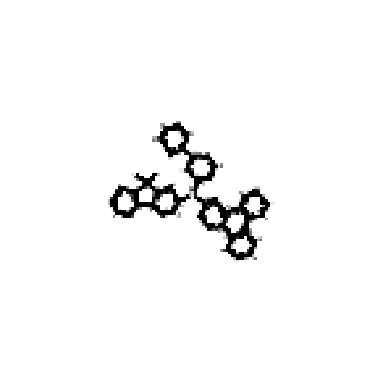 CC1(C)c2ccccc2-c2ccc(N(c3cccc(-c4ccccc4)c3)c3ccc4c5ccccc5c5ccccc5c4c3)cc21